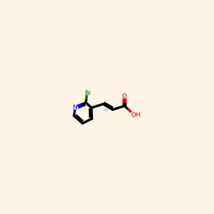 O=C(O)/C=C/c1cccnc1Br